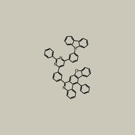 c1ccc(-c2nc(-c3cccc(-c4nc5ccccc5c5c(-c6ccccc6)c6c(cc45)oc4ccccc46)c3)cc(-c3cccc(-n4c5ccccc5c5ccccc54)c3)n2)cc1